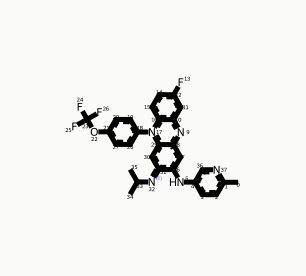 Cc1ccc(Nc2cc3nc4cc(F)ccc4n(-c4ccc(OC(F)(F)F)cc4)c-3c/c2=N\C(C)C)cn1